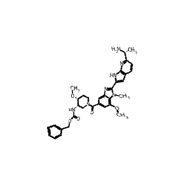 COc1cc(C(=O)N2CC[C@@H](OC)[C@@H](NC(=O)OCc3ccccc3)C2)cc2nc(-c3cc4ccc([C@@H](C)N)nc4[nH]3)n(C)c12